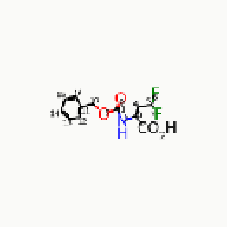 O=C(NC(CC(F)F)C(=O)O)OCc1ccccc1